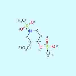 CCOC(=O)C1CN(S(C)(=O)=O)CCC1OS(C)(=O)=O